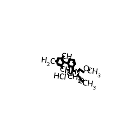 COCCN(CCOC)c1c2cccc(-c3c(C)cc(C)cc3C)c2nn1C.Cl